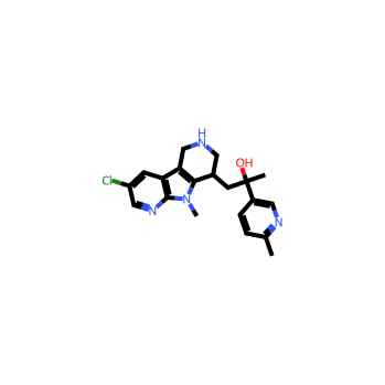 Cc1ccc(C(C)(O)CC2CNCc3c2n(C)c2ncc(Cl)cc32)cn1